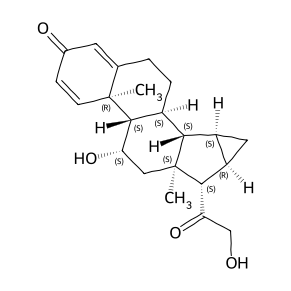 C[C@]12C[C@H](O)[C@H]3[C@@H](CCC4=CC(=O)C=C[C@@]43C)[C@@H]1[C@H]1C[C@H]1[C@@H]2C(=O)CO